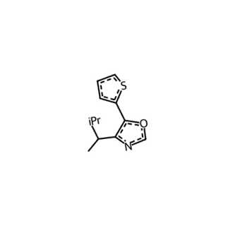 CC(C)C(C)c1ncoc1-c1cccs1